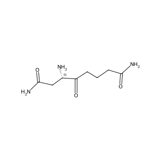 NC(=O)CCCC(=O)[C@@H](N)CC(N)=O